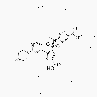 COC(=O)c1ccc(N(C)S(=O)(=O)c2cc(C(=O)O)sc2-c2ccnc(N3CCN(C)CC3)c2)cc1